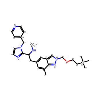 Cc1cc(CC(NC(=O)O)c2nccn2Cc2ccncc2)cc2cn(COCC[Si](C)(C)C)nc12